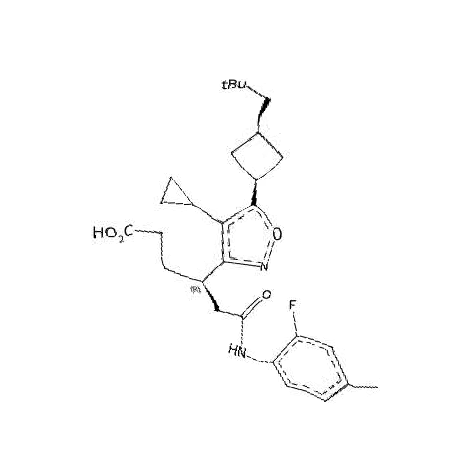 Cc1ccc(NC(=O)C[C@@H](CCC(=O)O)c2noc([C@H]3C[C@@H](CC(C)(C)C)C3)c2C2CC2)c(F)c1